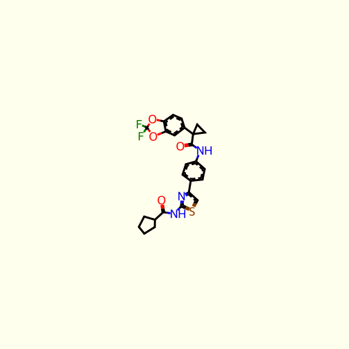 O=C(Nc1nc(-c2ccc(NC(=O)C3(c4ccc5c(c4)OC(F)(F)O5)CC3)cc2)cs1)C1CCCC1